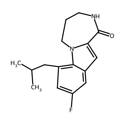 CC(C)Cc1cc(F)cc2cc3n(c12)CCCNC3=O